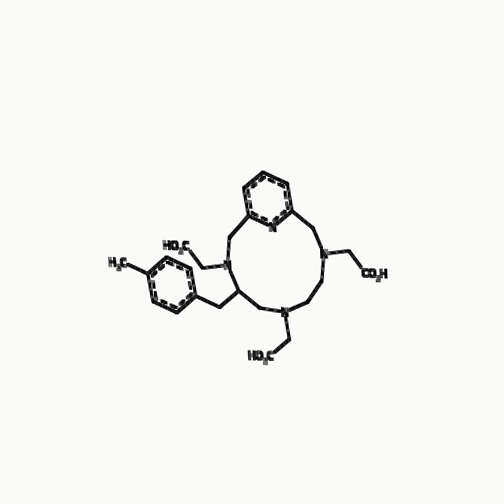 Cc1ccc(CC2CN(CC(=O)O)CCN(CC(=O)O)Cc3cccc(n3)CN2CC(=O)O)cc1